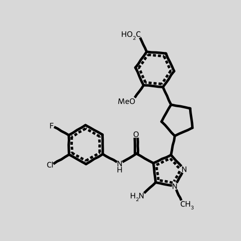 COc1cc(C(=O)O)ccc1C1CCC(c2nn(C)c(N)c2C(=O)Nc2ccc(F)c(Cl)c2)C1